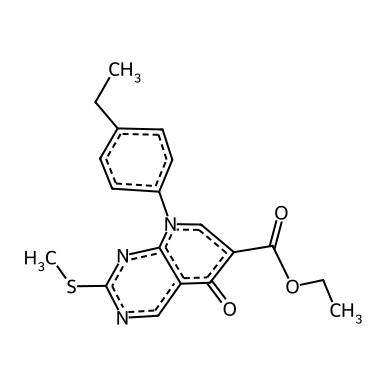 CCOC(=O)c1cn(-c2ccc(CC)cc2)c2nc(SC)ncc2c1=O